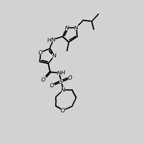 Cc1cn(CC(C)C)nc1Nc1nc(C(=O)NS(=O)(=O)N2CCCOCC2)co1